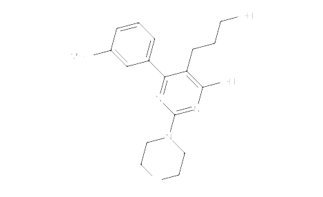 COc1cccc(-c2nc(N3CCOCC3)nc(O)c2CCCO)c1